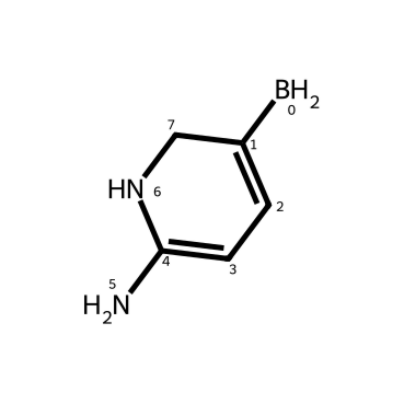 BC1=CC=C(N)NC1